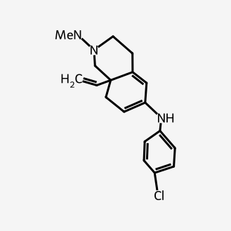 C=CC12CC=C(Nc3ccc(Cl)cc3)C=C1CCN(NC)C2